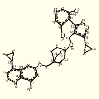 Fc1cc(OCC23CCC(OCc4c(-c5c(Cl)cncc5Cl)noc4C4CC4)(CC2)CC3)cc2c(C3CC3)ccnc12